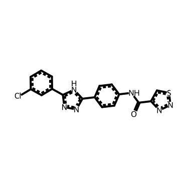 O=C(Nc1ccc(-c2nnc(-c3cccc(Cl)c3)[nH]2)cc1)c1csnn1